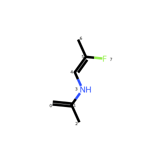 C=C(C)N/C=C(/C)F